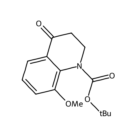 COc1cccc2c1N(C(=O)OC(C)(C)C)CCC2=O